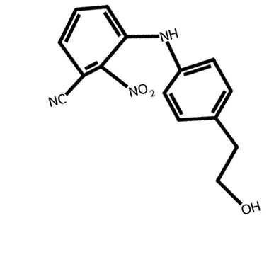 N#Cc1cccc(Nc2ccc(CCO)cc2)c1[N+](=O)[O-]